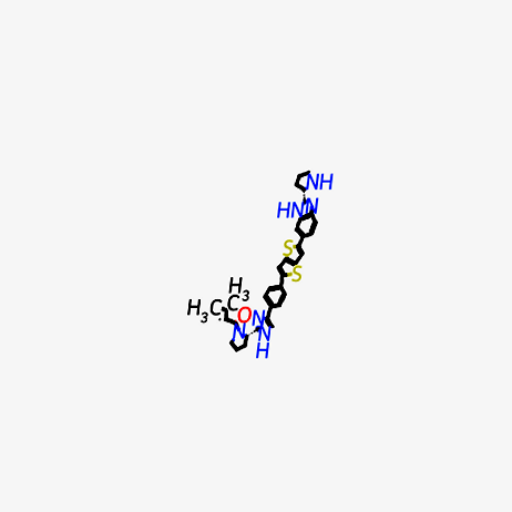 CC(C)[CH]C(=O)N1CCC[C@H]1c1nc(-c2ccc(-c3cc4sc(-c5ccc6nc([C@@H]7CCCN7)[nH]c6c5)cc4s3)cc2)c[nH]1